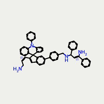 NC/C=C\C1=Cc2ccc(-c3ccc(CNC(/C=C(\N)c4ccccc4)c4ccccc4)cc3)cc2C12c1ccccc1N(c1ccccc1)c1ccccc12